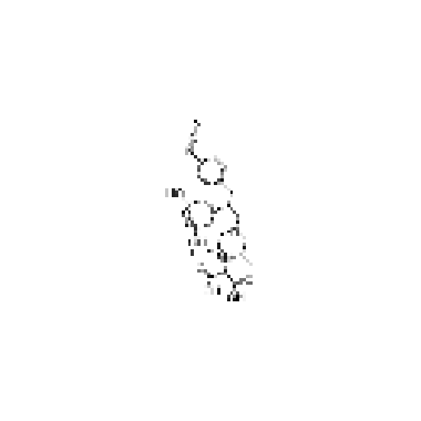 CC(CN(CC(=O)O)CC(Cc1ccc(N=C=S)cc1)N(CC(=O)O)CC(=O)O)NC(C(=O)O)C(=O)O